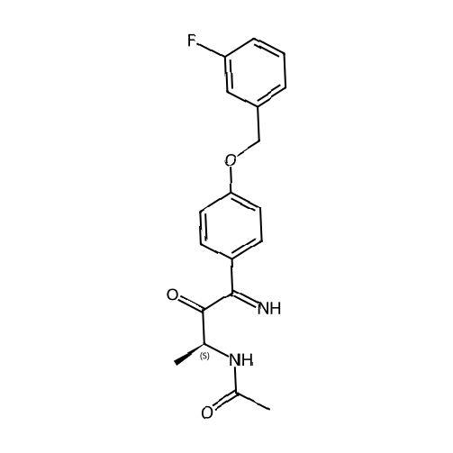 CC(=O)N[C@@H](C)C(=O)C(=N)c1ccc(OCc2cccc(F)c2)cc1